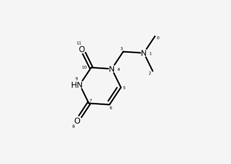 CN(C)Cn1ccc(=O)[nH]c1=O